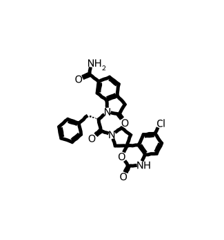 NC(=O)c1ccc2c(c1)N([C@@H](Cc1ccccc1)C(=O)N1CCC3(C1)OC(=O)Nc1ccc(Cl)cc13)C(=O)C2